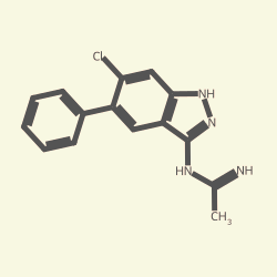 CC(=N)Nc1n[nH]c2cc(Cl)c(-c3ccccc3)cc12